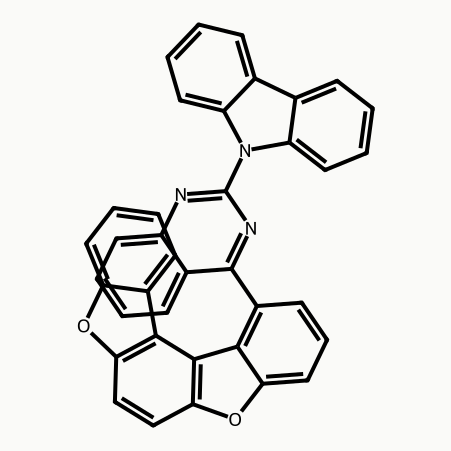 c1ccc2c(-c3cccc4oc5ccc6oc7ccccc7c6c5c34)nc(-n3c4ccccc4c4ccccc43)nc2c1